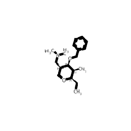 CC[C@H]1OC[C@@H](CN(C)C)[C@@H](OCc2ccccc2)[C@H]1C